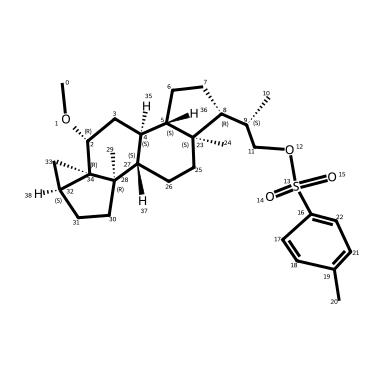 CO[C@@H]1C[C@H]2[C@@H]3CC[C@H]([C@H](C)COS(=O)(=O)c4ccc(C)cc4)[C@@]3(C)CC[C@@H]2[C@@]2(C)CC[C@H]3C[C@]312